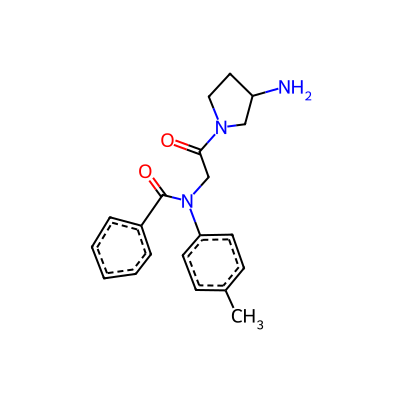 Cc1ccc(N(CC(=O)N2CCC(N)C2)C(=O)c2ccccc2)cc1